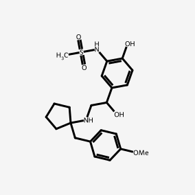 COc1ccc(CC2(NCC(O)c3ccc(O)c(NS(C)(=O)=O)c3)CCCC2)cc1